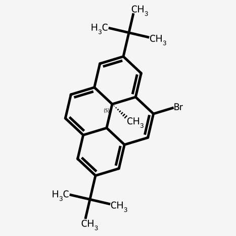 CC(C)(C)C1=CC2=CC=C3C=C(C(C)(C)C)C=C4C(Br)=CC(=C1)C2[C@@]34C